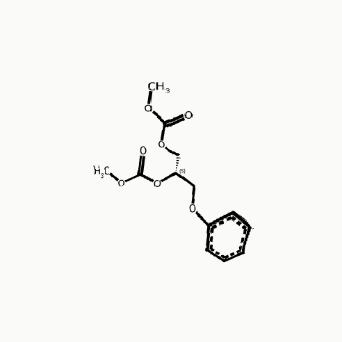 COC(=O)OC[C@H](COc1c[c]ccc1)OC(=O)OC